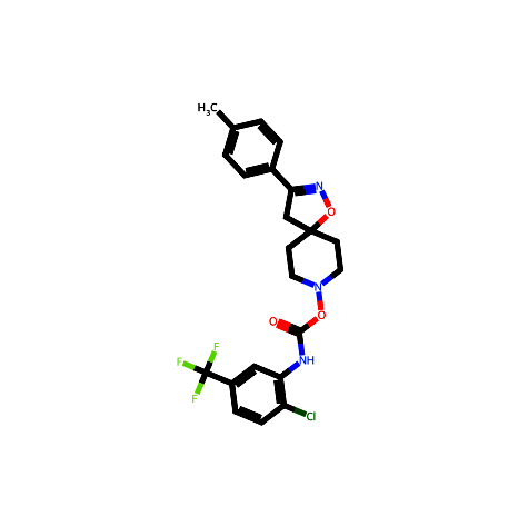 Cc1ccc(C2=NOC3(CCN(OC(=O)Nc4cc(C(F)(F)F)ccc4Cl)CC3)C2)cc1